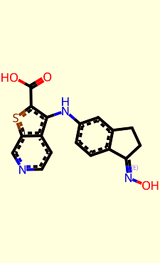 O=C(O)c1sc2cnccc2c1Nc1ccc2c(c1)CC/C2=N\O